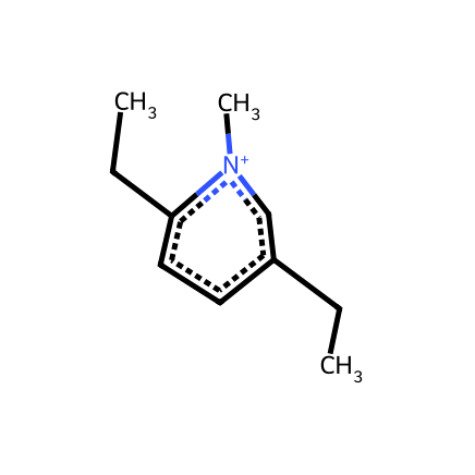 CCc1ccc(CC)[n+](C)c1